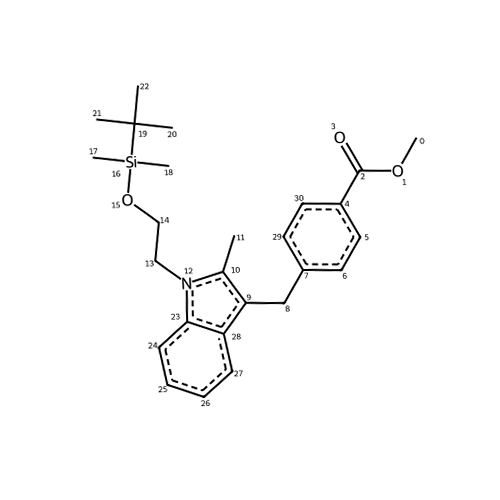 COC(=O)c1ccc(Cc2c(C)n(CCO[Si](C)(C)C(C)(C)C)c3ccccc23)cc1